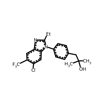 CCc1nc2cc(C(F)(F)F)c(Cl)cc2n1-c1ccc(CC(C)(C)O)cc1